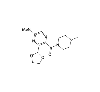 CNc1ccc(C(=O)N2CCN(C)CC2)c(C2OCCO2)n1